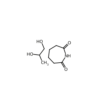 CC(O)CO.O=C1CCCCC(=O)N1